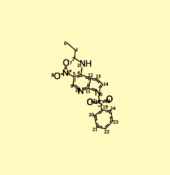 CCCNc1c([N+](=O)[O-])cnc2c1ccn2S(=O)(=O)c1ccccc1